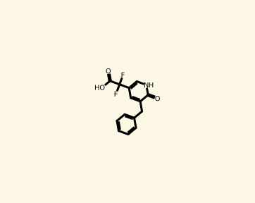 O=C(O)C(F)(F)c1c[nH]c(=O)c(Cc2ccccc2)c1